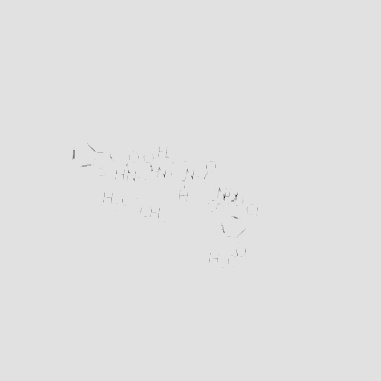 COc1ccc(S(=O)(=O)NCC(=O)N2C[C@@H]3C[C@H]2CN3C(=O)C(CC(C)C)NC(=O)c2cc3ccccc3s2)c(Cl)c1